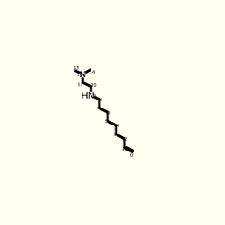 C=CCCCCCCCNCCN(C)C